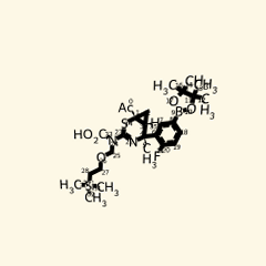 CC(=O)[C@]12C[C@H]1[C@@](C)(c1cc(B3OC(C)(C)C(C)(C)O3)ccc1F)N=C(N(COCC[Si](C)(C)C)C(=O)O)S2